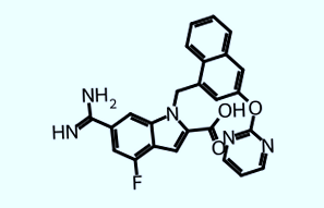 N=C(N)c1cc(F)c2cc(C(=O)O)n(Cc3cc(Oc4ncccn4)cc4ccccc34)c2c1